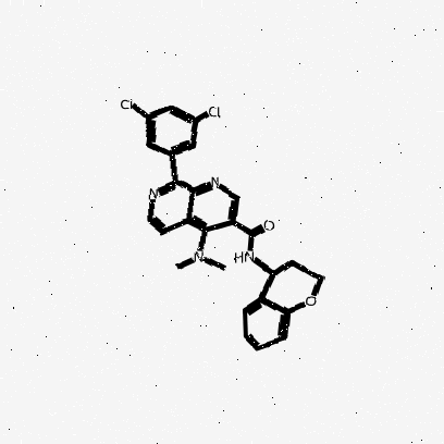 CN(C)c1c(C(=O)NC2CCOc3ccccc32)cnc2c(-c3cc(Cl)cc(Cl)c3)nccc12